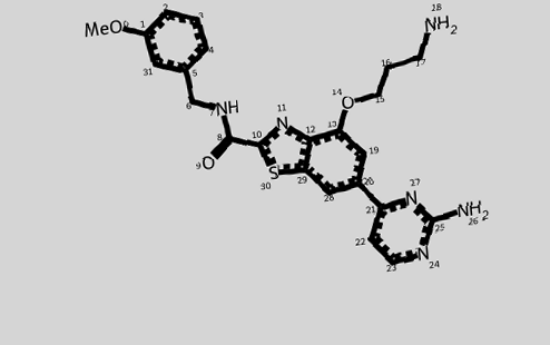 COc1cccc(CNC(=O)c2nc3c(OCCCN)cc(-c4ccnc(N)n4)cc3s2)c1